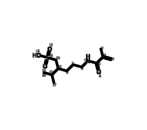 C=C(C)C(=O)NCCCC(CS(=O)(=O)O)[C](C)C